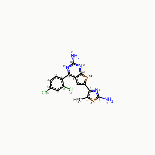 Cc1sc(N)nc1-c1cc2c(-c3ccc(Cl)cc3Cl)nc(N)nc2s1